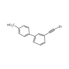 CCC#Cc1cccc(-c2ccc(C(=O)O)cc2)c1